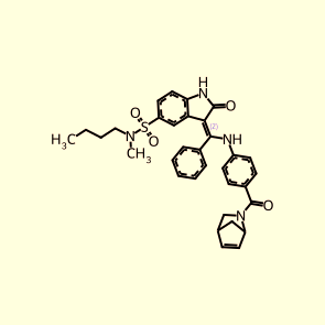 CCCCN(C)S(=O)(=O)c1ccc2c(c1)/C(=C(/Nc1ccc(C(=O)N3CC4C=CC3C4)cc1)c1ccccc1)C(=O)N2